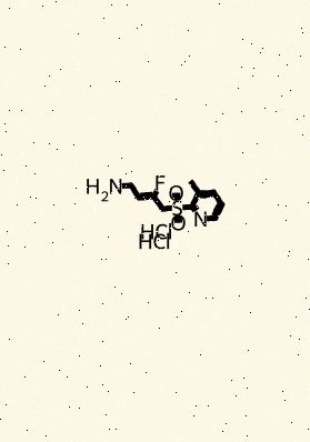 Cc1cccnc1S(=O)(=O)C/C(F)=C/CN.Cl.Cl